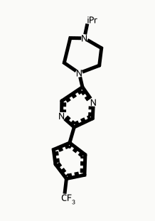 CC(C)N1CCN(c2cnc(-c3ccc(C(F)(F)F)cc3)cn2)CC1